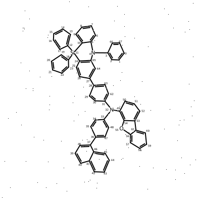 c1ccc(N2c3ccccc3[Si](c3ccccc3)(c3ccccc3)c3ccc(-c4ccc(N(c5ccc(-c6cccc7ccccc67)cc5)c5cccc6c5oc5ccccc56)cc4)cc32)cc1